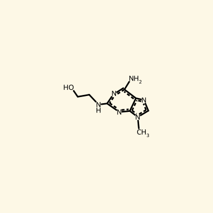 Cn1cnc2c(N)nc(NCCO)nc21